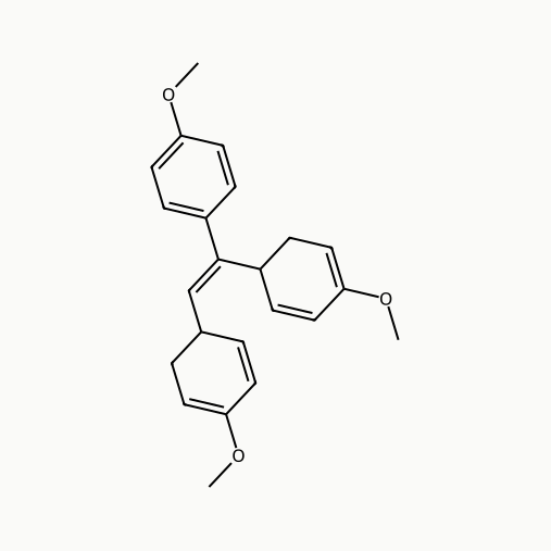 COC1=CCC(/C=C(/c2ccc(OC)cc2)C2C=CC(OC)=CC2)C=C1